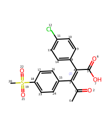 CC(=O)/C(=C(\C(=O)O)c1ccc(Cl)cc1)c1ccc(S(C)(=O)=O)cc1